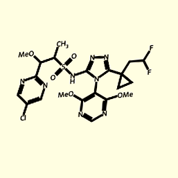 COc1ncnc(OC)c1-n1c(NS(=O)(=O)C(C)C(OC)c2ncc(Cl)cn2)nnc1C1(CC(F)F)CC1